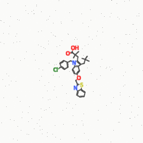 CC(C)(C)Cc1c(CC(C)(C)C(=O)O)n(Cc2ccc(Cl)cc2)c2ccc(OCc3nc4ccccc4s3)cc12